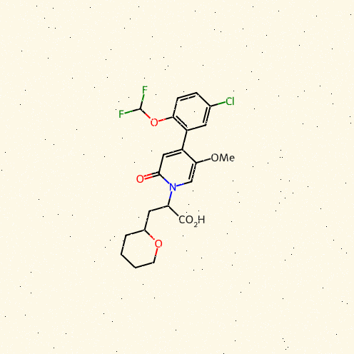 COc1cn(C(CC2CCCCO2)C(=O)O)c(=O)cc1-c1cc(Cl)ccc1OC(F)F